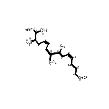 CCCCCC(O)C(C/C=C\CC(C(O)C/C=C\CCC[C]=O)[N+](=O)[O-])[N+](=O)[O-]